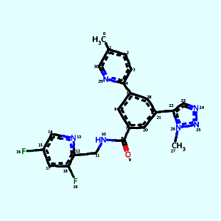 Cc1ccc(-c2cc(C(=O)NCc3ncc(F)cc3F)cc(-c3cnnn3C)c2)nc1